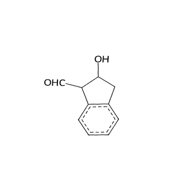 O=CC1c2ccccc2CC1O